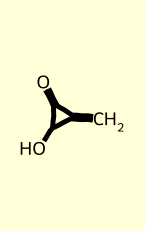 C=C1C(=O)C1O